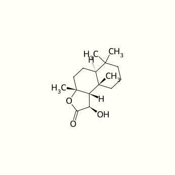 CC1(C)CCC[C@@]2(C)[C@H]1CC[C@@]1(C)OC(=O)[C@H](O)[C@@H]21